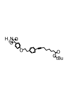 CC(C)(C)OC(=O)CCCCCC#Cc1ccc(CCOc2ccc(S(N)(=O)=O)cc2)cc1